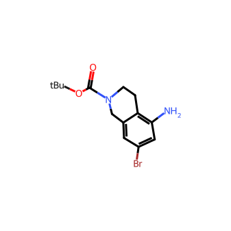 CC(C)(C)OC(=O)N1CCc2c(N)cc(Br)cc2C1